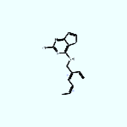 C=C/C(=C\C=C/C)CNc1nc(Cl)nc2ccsc12